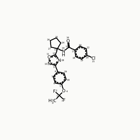 CC(F)(F)Oc1ccc(-c2noc(C3(NC(=O)c4ccc(Cl)cc4)CCCC3)n2)cc1